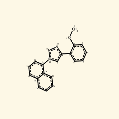 COc1ccccc1-c1cn(-c2cccc3ccccc23)nn1